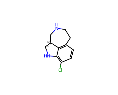 Clc1ccc2c3c1NC[C@@H]3CNCC2